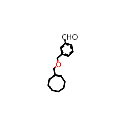 O=Cc1cccc(COCC2CCCCCCC2)c1